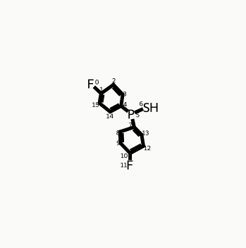 Fc1ccc(P(S)c2ccc(F)cc2)cc1